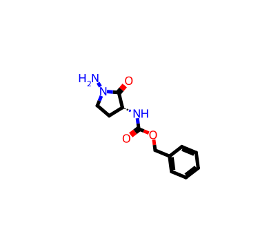 NN1CC[C@@H](NC(=O)OCc2ccccc2)C1=O